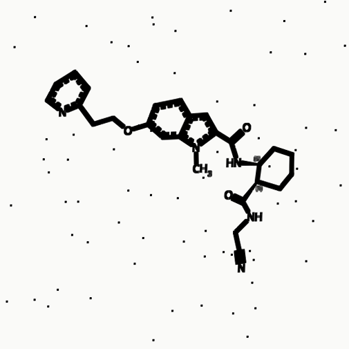 Cn1c(C(=O)N[C@H]2CCCC[C@H]2C(=O)NCC#N)cc2ccc(OCCc3ccccn3)cc21